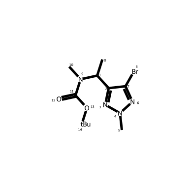 CC(c1nn(C)nc1Br)N(C)C(=O)OC(C)(C)C